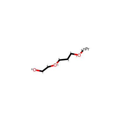 CCCOCCCOCC[O]